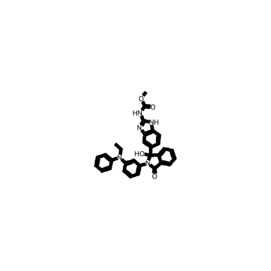 CCN(c1ccccc1)c1cccc(N2C(=O)c3ccccc3C2(O)c2ccc3[nH]c(NC(=O)OC)nc3c2)c1